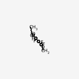 C=CCOc1ccc(-c2ccc(-c3ccc(C4COC(CCCCCC)OC4)c(F)c3F)cc2)c(F)c1F